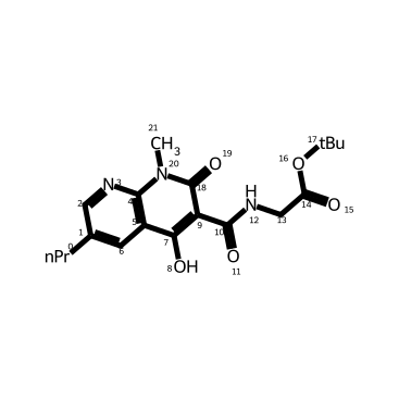 CCCc1cnc2c(c1)c(O)c(C(=O)NCC(=O)OC(C)(C)C)c(=O)n2C